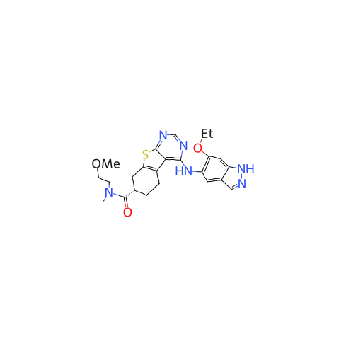 CCOc1cc2[nH]ncc2cc1Nc1ncnc2sc3c(c12)CC[C@H](C(=O)N(C)CCOC)C3